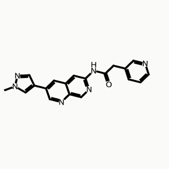 Cn1cc(-c2cnc3cnc(NC(=O)Cc4cccnc4)cc3c2)cn1